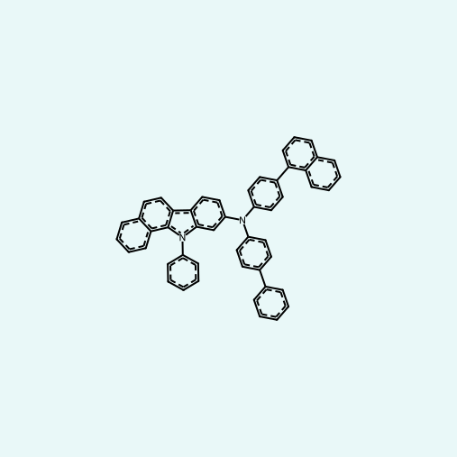 c1ccc(-c2ccc(N(c3ccc(-c4cccc5ccccc45)cc3)c3ccc4c5ccc6ccccc6c5n(-c5ccccc5)c4c3)cc2)cc1